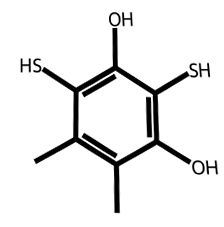 Cc1c(C)c(S)c(O)c(S)c1O